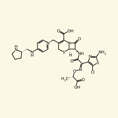 C[C@H](O/N=C(\C(=O)N[C@@H]1C(=O)N2C(C(=O)O)=C(C[n+]3ccc(NC[C@@H]4CCCN4)cc3)CS[C@H]12)c1nc(N)sc1Cl)C(=O)O